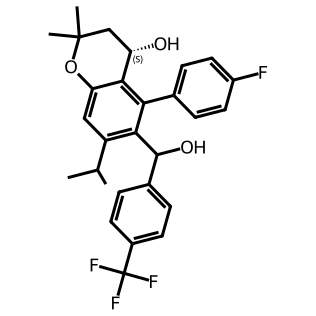 CC(C)c1cc2c(c(-c3ccc(F)cc3)c1C(O)c1ccc(C(F)(F)F)cc1)[C@@H](O)CC(C)(C)O2